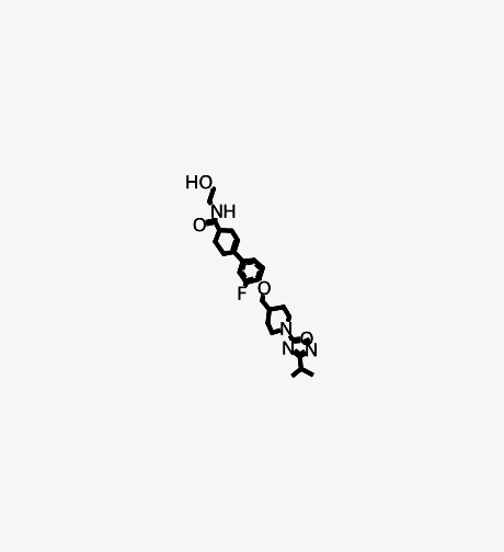 CC(C)c1noc(N2CCC(COc3ccc(C4=CCC(C(=O)NCCO)CC4)cc3F)CC2)n1